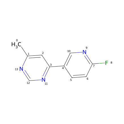 Cc1cc(-c2ccc(F)nc2)ncn1